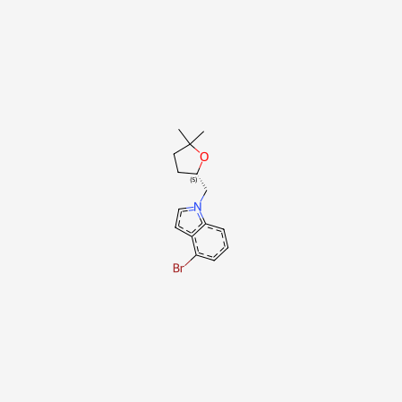 CC1(C)CC[C@@H](Cn2ccc3c(Br)cccc32)O1